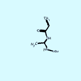 C=CC(=O)NC(C)NCCCC